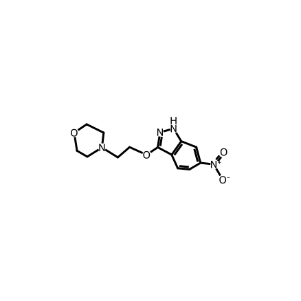 O=[N+]([O-])c1ccc2c(OCCN3CCOCC3)n[nH]c2c1